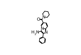 Nc1c(-c2ccccc2)nc2ccc(C(=O)N3CCCCC3)cn12